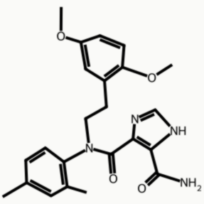 COc1ccc(OC)c(CCN(C(=O)c2nc[nH]c2C(N)=O)c2ccc(C)cc2C)c1